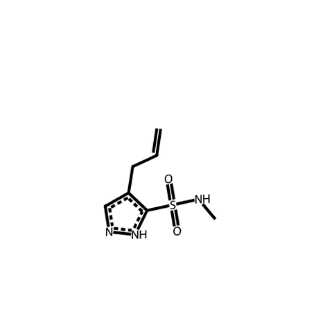 C=CCc1cn[nH]c1S(=O)(=O)NC